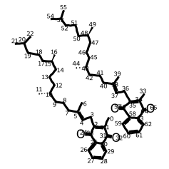 CC1=C(C/C=C(\C)CCC[C@H](C)CCC[C@H](C)CCCC(C)C)C(=O)c2ccccc2C1=O.CC1=C(C/C=C(\C)CCC[C@H](C)CCC[C@H](C)CCCC(C)C)C(=O)c2ccccc2C1=O